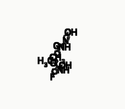 CC1(C)O/C(=C2\c3ccc(F)cc3NC2O)C=C1c1ccc(C(=O)NCCN2CCC(O)CC2)cc1